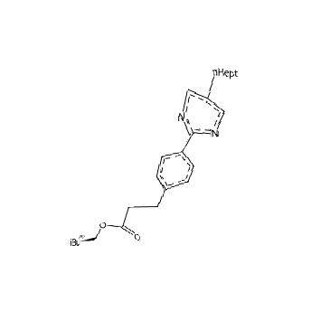 CCCCCCCc1cnc(-c2ccc(CCC(=O)OC[C@H](C)CC)cc2)nc1